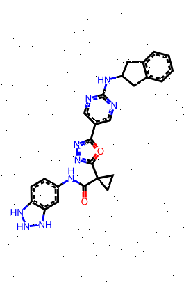 O=C(Nc1ccc2c(c1)NNN2)C1(c2nnc(-c3cnc(NC4Cc5ccccc5C4)nc3)o2)CC1